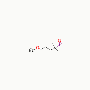 CCOCCCC(C)(C)P=O